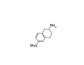 CSc1ccc2c(c1)CCC(N)C2